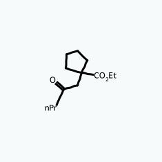 CCCC(=O)CC1(C(=O)OCC)CCCC1